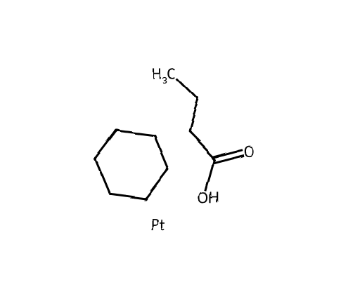 C1CCCCC1.CCCC(=O)O.[Pt]